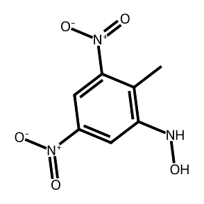 Cc1c(NO)cc([N+](=O)[O-])cc1[N+](=O)[O-]